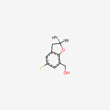 CCCC1(CCC)Cc2cc(F)cc(CO)c2O1